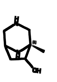 C[C@]12CNCC(CC1O)N2